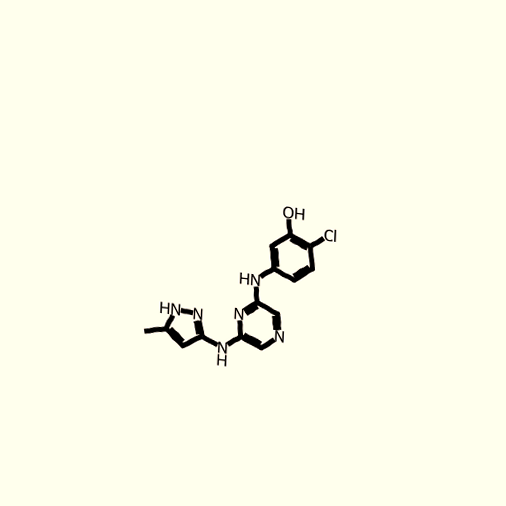 Cc1cc(Nc2cncc(Nc3ccc(Cl)c(O)c3)n2)n[nH]1